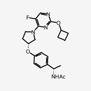 CC(=O)N[C@@H](C)c1ccc(O[C@@H]2CCN(c3nc(OC4CCC4)ncc3F)C2)cc1